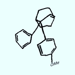 COc1ccc(C2(c3ccccc3)C=C3CCC2CC3)cc1